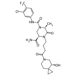 C[C@H]1C(=O)N(CCCC(=O)N2CCC3(CC3)[C@H](O)C2)[C@@H](C(N)=O)CN1C(=O)Nc1ccc(C(F)(F)F)c(Cl)c1